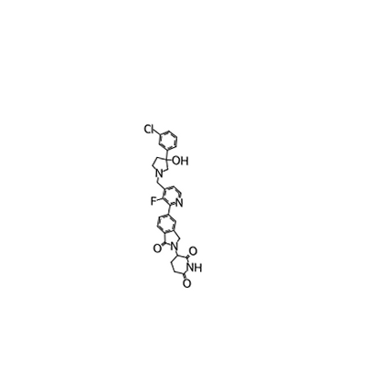 O=C1CCC(N2Cc3cc(-c4nccc(CN5CCC(O)(c6cccc(Cl)c6)C5)c4F)ccc3C2=O)C(=O)N1